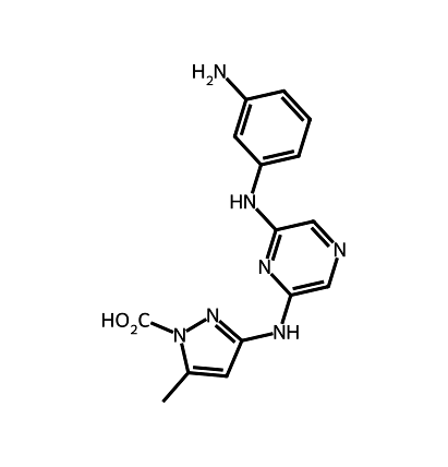 Cc1cc(Nc2cncc(Nc3cccc(N)c3)n2)nn1C(=O)O